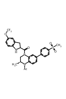 CC(=O)N1c2ccc(-c3ccc(S(C)(=O)=O)cc3)cc2N(C(=O)C2Cc3cc(OC(F)(F)F)ccc3N2)C[C@@H]1C